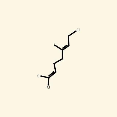 C/C(=C\CCl)CCC=C(Cl)Cl